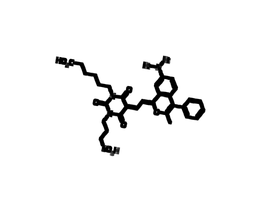 CCN(CC)c1ccc2c(c1)C(=CC=C1C(=O)N(CCCCCC(=O)O)C(=O)N(CCCS(=O)(=O)O)C1=O)OC(C)=C2c1ccccc1